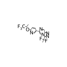 C[C@@H](Oc1ccc(-c2cn3c(C(C)(F)F)nnc3cn2)cn1)C(F)(F)F